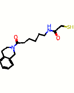 O=C(CS)NCCCCCC(=O)N1CCc2ccccc2C1